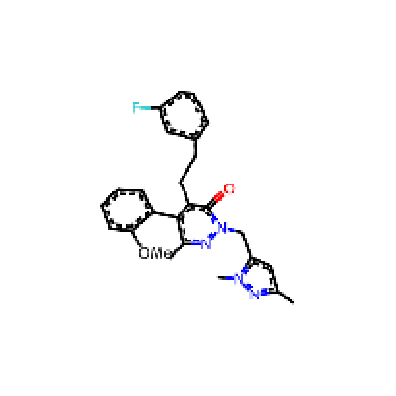 COc1ccccc1-c1c(C)nn(Cc2cc(C)nn2C)c(=O)c1CCc1cccc(F)c1